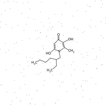 CCCCC(CC)Cn1c(O)cc(=O)c(O)c1C